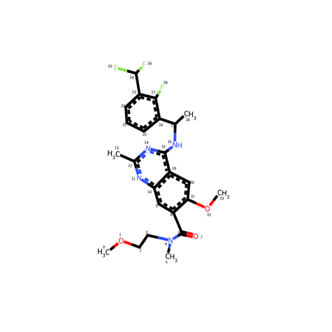 COCCN(C)C(=O)c1cc2nc(C)nc(NC(C)c3cccc(C(F)F)c3F)c2cc1OC